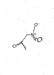 O=C(I)C[N+](=O)[O-]